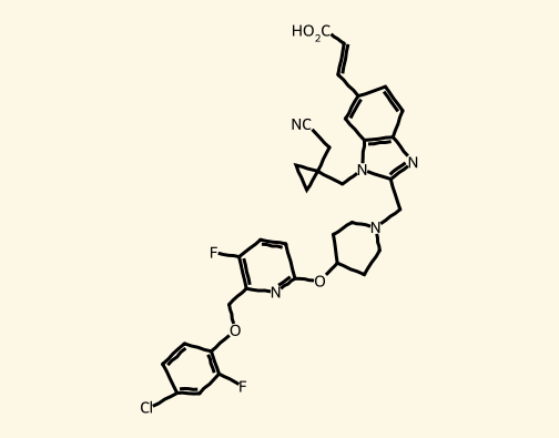 N#CCC1(Cn2c(CN3CCC(Oc4ccc(F)c(COc5ccc(Cl)cc5F)n4)CC3)nc3ccc(/C=C/C(=O)O)cc32)CC1